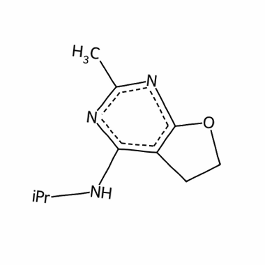 Cc1nc(NC(C)C)c2c(n1)OCC2